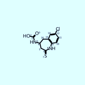 O=C(O)NC1CC(=S)Nc2ccc(Cl)cc2C1